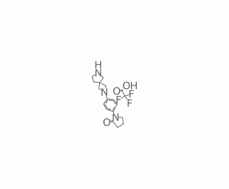 O=C(O)C(F)(F)F.O=C1CCCN1c1ccc(N2CC3(CCNC3)C2)cc1